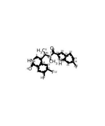 C[C@H](c1c[nH]c(=O)c2cc(F)c(F)cc12)N(C)C(=O)c1cc2ccc(F)cc2[nH]1